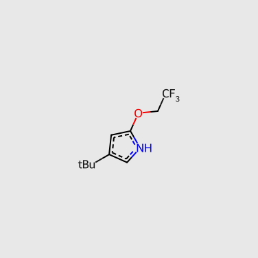 CC(C)(C)c1c[nH]c(OCC(F)(F)F)c1